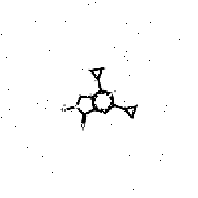 O=C1c2cc(C3CC3)nc(C3CC3)c2CN1S